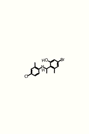 Cc1cc(Cl)ccc1NC(C)c1c(C)cc(Br)cc1O